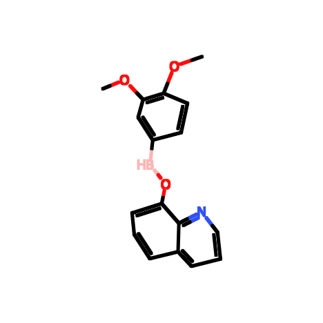 COc1ccc(BOc2cccc3cccnc23)cc1OC